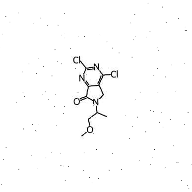 COCC(C)N1Cc2c(Cl)nc(Cl)nc2C1=O